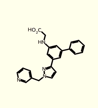 O=C(O)CNc1cc(-c2ccccc2)cc(-c2ccn(Cc3cccnc3)n2)c1